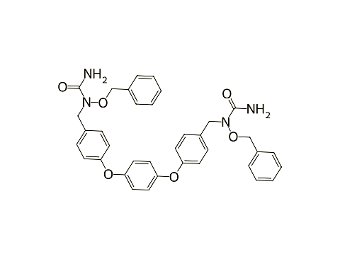 NC(=O)N(Cc1ccc(Oc2ccc(Oc3ccc(CN(OCc4ccccc4)C(N)=O)cc3)cc2)cc1)OCc1ccccc1